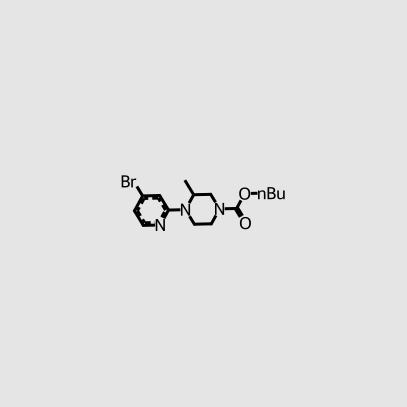 CCCCOC(=O)N1CCN(c2cc(Br)ccn2)C(C)C1